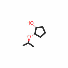 CC(C)O[C@H]1CCC[C@H]1O